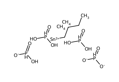 C.C.CCC[CH2][Sn+3].O=[PH](O)O.O=[PH](O)O.O=[PH]([O-])O.O=[PH]([O-])[O-]